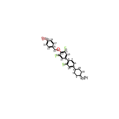 CCCC1CCC(c2ccc(-c3cc(F)c(OCc4ccc(Br)cc4)c(F)c3)c(F)c2)CC1